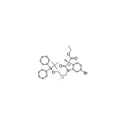 CCOC(=O)[C@@]1(C)C(=O)N(C[C@H](C)CO[Si](c2ccccc2)(c2ccccc2)C(C)(C)C)c2cc(Br)ccc21